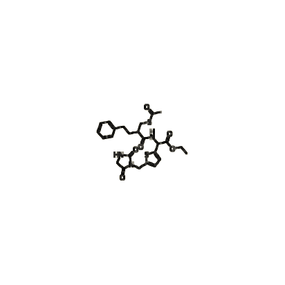 CCOC(=O)C(NC(=O)C(CCc1ccccc1)CSC(C)=O)c1ccc(CN2C(=O)CNC2=O)s1